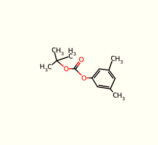 Cc1cc(C)cc(OC(=O)OC(C)(C)C)c1